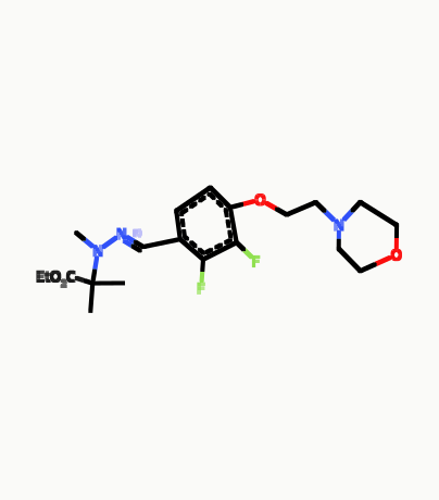 CCOC(=O)C(C)(C)N(C)/N=C/c1ccc(OCCN2CCOCC2)c(F)c1F